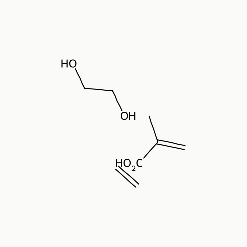 C=C.C=C(C)C(=O)O.OCCO